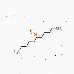 CCCCCCCCCCC.S.S